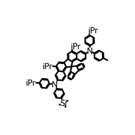 Cc1ccc(N(c2ccc(C(C)C)cc2)c2ccc3c4c(cc(C(C)C)c3c2)-c2cc(C(C)C)c3cc(N(c5ccc(C(C)C)cc5)c5ccc([Si](C)(C)C)cc5)ccc3c2C42c3ccccc3-c3ccccc32)cc1